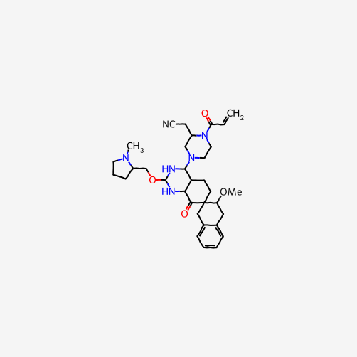 C=CC(=O)N1CCN(C2NC(OCC3CCCN3C)NC3C(=O)C4(CCC32)Cc2ccccc2CC4OC)CC1CC#N